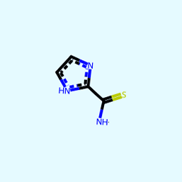 [NH]C(=S)c1ncc[nH]1